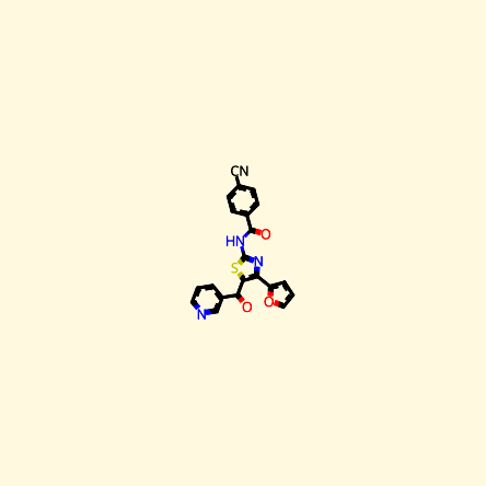 N#Cc1ccc(C(=O)Nc2nc(-c3ccco3)c(C(=O)c3cccnc3)s2)cc1